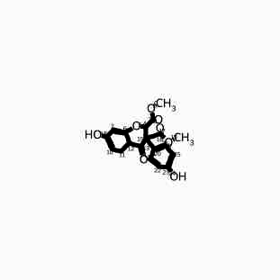 COC(=O)C1OC2=CC(O)=CCC2C(=O)C1(C(=O)OC)c1ccc(O)cc1